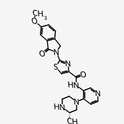 COc1ccc2c(c1)C(=O)N(c1nc(C(=O)Nc3cnccc3N3CCN[C@@H](C)C3)cs1)C2